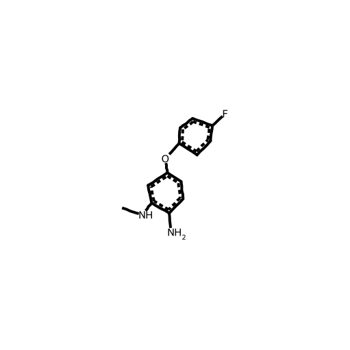 CNc1cc(Oc2ccc(F)cc2)ccc1N